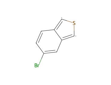 Brc1ccc2[c]s[c]c2c1